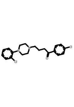 O=C(CCCN1CCN(c2ccccc2Cl)CC1)c1ccc(Cl)cc1